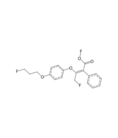 O=C(OF)C(=C(CF)Oc1ccc(OCCCF)cc1)c1ccccc1